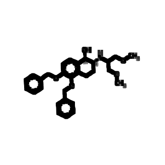 COCC(COC)N[C@@H]1CCc2c(ccc(OCc3ccccc3)c2OCc2ccccc2)[C@H]1O